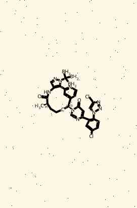 BC(B)(B)n1ncc2c1-c1cc(ccn1)[C@@H](n1cnc(-c3cc(Cl)ccc3-n3cc(Cl)nn3)cc1=O)CCC[C@@H](C)C(=O)N2